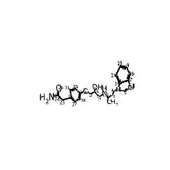 CC(CCn1cnc2ccccc21)NCC(O)COc1ccc(CC(N)=O)cc1